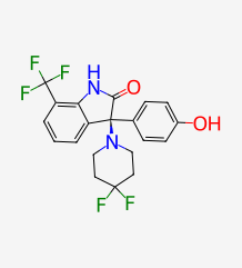 O=C1Nc2c(C(F)(F)F)cccc2[C@]1(c1ccc(O)cc1)N1CCC(F)(F)CC1